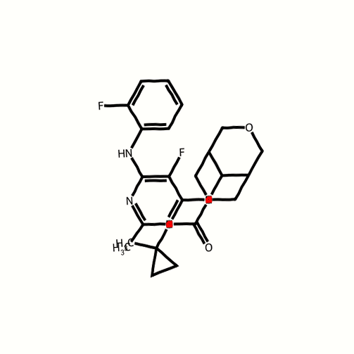 Cc1nc(Nc2ccccc2F)c(F)c(OC2C3COCC2CN(C(=O)OC2(C)CC2)C3)n1